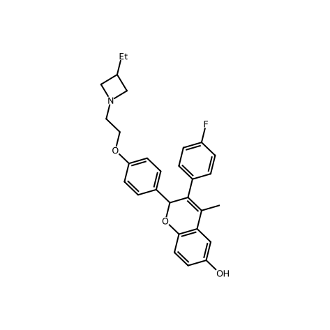 CCC1CN(CCOc2ccc(C3Oc4ccc(O)cc4C(C)=C3c3ccc(F)cc3)cc2)C1